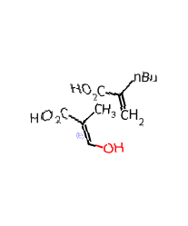 C/C(=C\O)C(=O)O.C=C(CCCC)C(=O)O